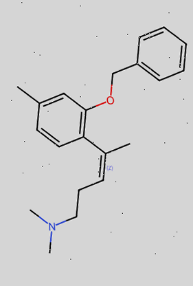 C/C(=C/CCN(C)C)c1ccc(C)cc1OCc1ccccc1